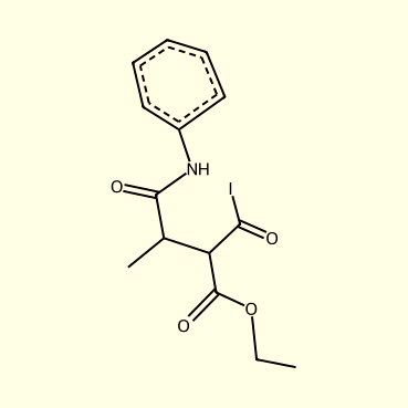 CCOC(=O)C(C(=O)I)C(C)C(=O)Nc1ccccc1